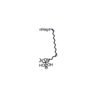 CCCCCCC/C=C\CCCCCCCCC/C=C\CCCCC(O)(C[N+](C)(C)C)P(=O)(O)O